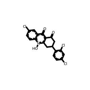 O=C1CC(c2ccc(Cl)cc2Cl)Cc2c1c(=O)c1cc(Cl)ccc1n2O